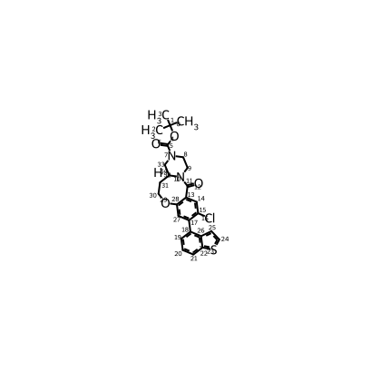 CC(C)(C)OC(=O)N1CCN2C(=O)c3cc(Cl)c(-c4cccc5sccc45)cc3OCC[C@H]2C1